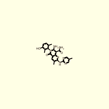 Cc1cnc(Nc2nc3c(C(N)=O)c(N)n(-c4c(C)ccc(O)c4C)c(=O)c3cc2C)nc1